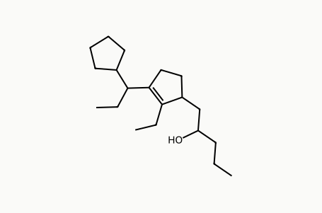 CCCC(O)CC1CCC(C(CC)C2CCCC2)=C1CC